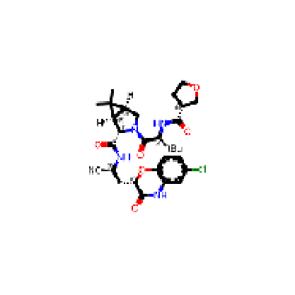 CC(C)(C)[C@H](NC(=O)[C@@H]1CCOC1)C(=O)N1C[C@H]2[C@@H]([C@H]1C(=O)N[C@H](C#N)C[C@@H]1Oc3ccc(Cl)cc3NC1=O)C2(C)C